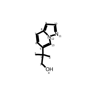 CC(C)(CO)c1ccc2ccnn2c1